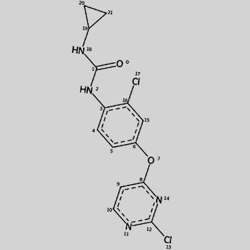 O=C(Nc1ccc(Oc2ccnc(Cl)n2)cc1Cl)NC1CC1